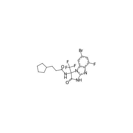 O=C(CCC1CCCC1)NC1(C(F)(F)F)C(=O)Nc2nc3c(F)cc(Br)cc3n21